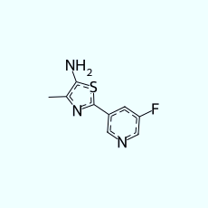 Cc1nc(-c2cncc(F)c2)sc1N